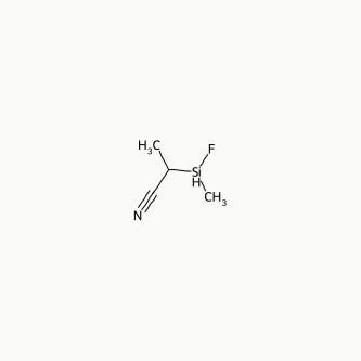 CC(C#N)[SiH](C)F